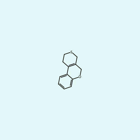 c1ccc2c(c1)OCC1=C2CCSC1